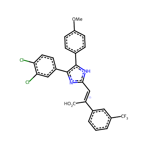 COc1ccc(-c2[nH]c(/C=C(\C(=O)O)c3cccc(C(F)(F)F)c3)nc2-c2ccc(Cl)c(Cl)c2)cc1